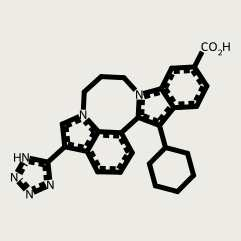 O=C(O)c1ccc2c(C3CCCCC3)c3n(c2c1)CCCn1cc(-c2nnn[nH]2)c2cccc-3c21